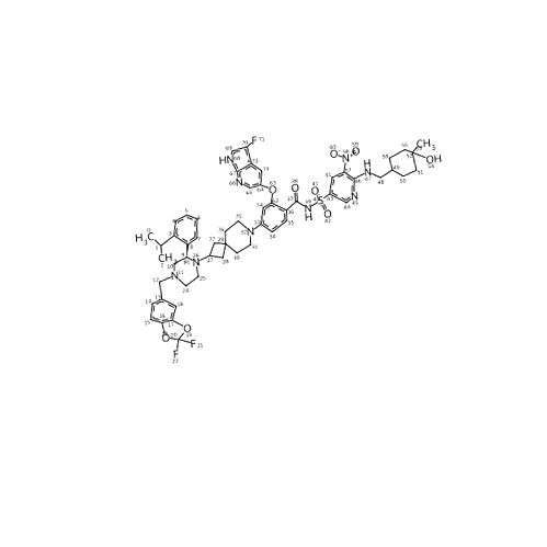 CC(C)c1ccccc1[C@@H]1CN(Cc2ccc3c(c2)OC(F)(F)O3)CCN1C1CC2(CCN(c3ccc(C(=O)NS(=O)(=O)c4cnc(NCC5CCC(C)(O)CC5)c([N+](=O)[O-])c4)c(Oc4cnc5[nH]cc(F)c5c4)c3)CC2)C1